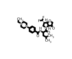 CCN1CCN(c2ccc(C(=O)NC(CC(C)C)C(=O)N3C[C@H](C(F)F)[C@H]4OCC(=O)[C@H]43)cc2)CC1